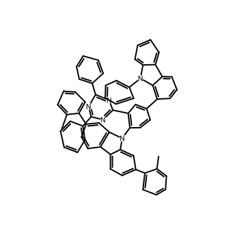 Cc1ccccc1-c1ccc2c3ccc(-c4ccccc4C)cc3n(-c3ccc(-c4cccc5c6ccccc6n(-c6ccccc6)c45)cc3-c3nc(-c4ccccc4)nc(-c4ccccc4)n3)c2c1